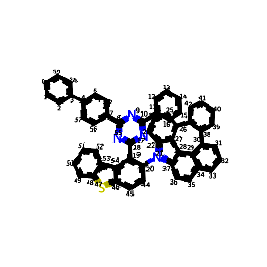 c1ccc(-c2ccc(-c3nc(-c4ccccc4)nc(-c4c(-n5c6cccc7c6c6c8c(cccc8ccc65)-c5ccccc5-7)ccc5sc6ccccc6c45)n3)cc2)cc1